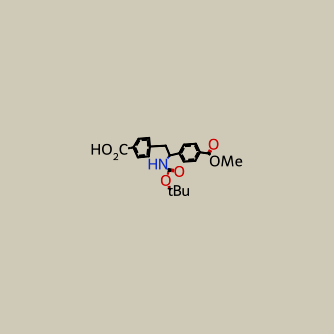 COC(=O)c1ccc(C(Cc2ccc(C(=O)O)cc2)NC(=O)OC(C)(C)C)cc1